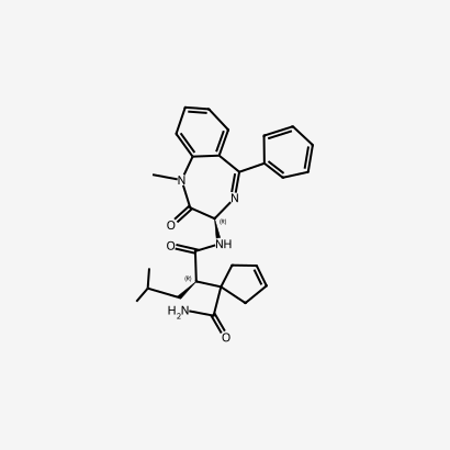 CC(C)C[C@@H](C(=O)N[C@@H]1N=C(c2ccccc2)c2ccccc2N(C)C1=O)C1(C(N)=O)CC=CC1